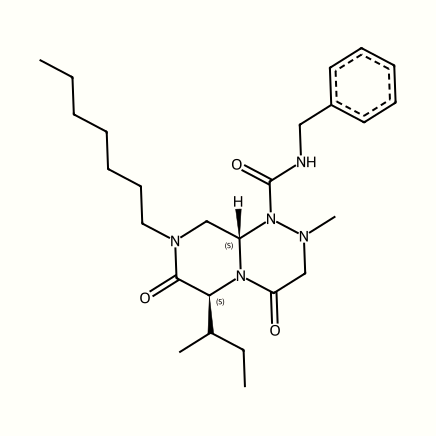 CCCCCCCN1C[C@H]2N(C(=O)CN(C)N2C(=O)NCc2ccccc2)[C@@H](C(C)CC)C1=O